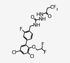 O=C(CC(F)(F)F)NNC(=O)NCc1ccc(-c2cc(Cl)cc(Cl)c2OCC(F)F)cc1F